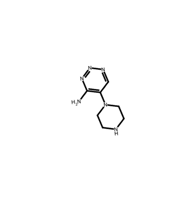 Nc1nnncc1N1CCNCC1